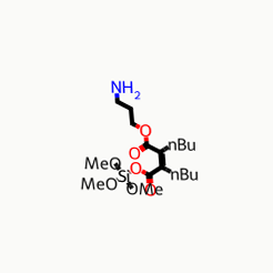 CCCC/C(C(=O)OCCCN)=C(\CCCC)C(=O)O[Si](OC)(OC)OC